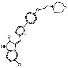 O=C1Nc2ccc(Cl)cc2C1=Cc1ccc(-c2ccc(OCCN3CCOCC3)cc2)o1